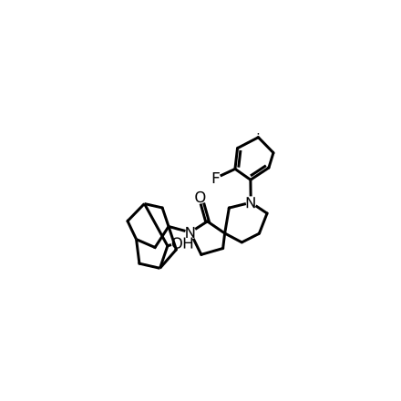 O=C1N(C23CC4CC(C2)C(O)C(C4)C3)CCC12CCCN(C1=CC[CH]C=C1F)C2